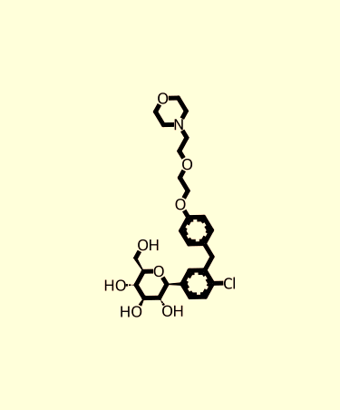 OC[C@H]1O[C@@H](c2ccc(Cl)c(Cc3ccc(OCCOCCN4CCOCC4)cc3)c2)[C@H](O)[C@@H](O)[C@@H]1O